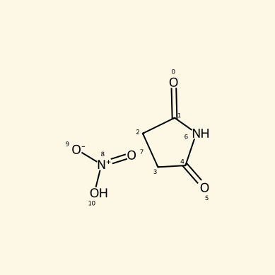 O=C1CCC(=O)N1.O=[N+]([O-])O